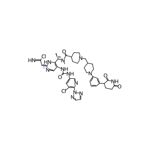 C[C@H](C1=C(NC(=O)Nc2cnc(-n3nccn3)c(Cl)c2)C=N/C(=C/C(=N)Cl)N1)N(C)C(=O)C1CCN(CC2CCN(c3cccc(C4CCC(=O)NC4=O)c3)CC2)CC1